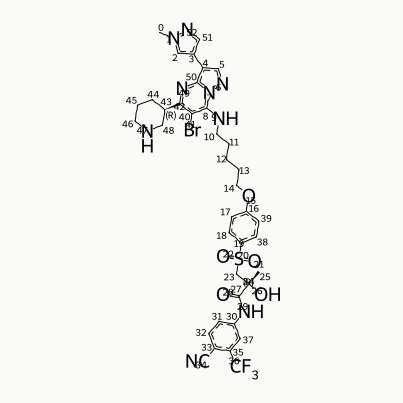 Cn1cc(-c2cnn3c(NCCCCCOc4ccc(S(=O)(=O)C[C@](C)(O)C(=O)Nc5ccc(C#N)c(C(F)(F)F)c5)cc4)c(Br)c([C@@H]4CCCNC4)nc23)cn1